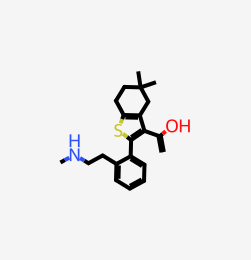 C=C(O)c1c(-c2ccccc2CCNC)sc2c1CC(C)(C)CC2